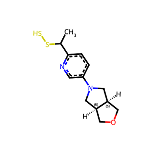 CC(SS)c1ccc(N2C[C@H]3COC[C@H]3C2)cn1